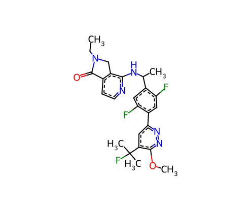 CCN1Cc2c(ccnc2NC(C)c2cc(F)c(-c3cc(C(C)(C)F)c(OC)nn3)cc2F)C1=O